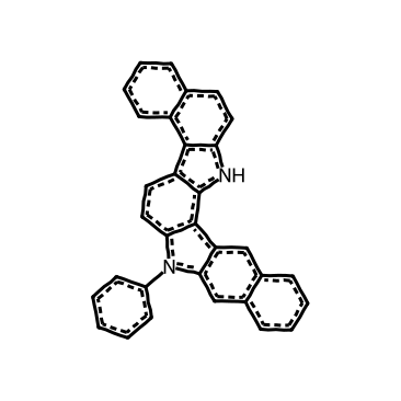 c1ccc(-n2c3cc4ccccc4cc3c3c4[nH]c5ccc6ccccc6c5c4ccc32)cc1